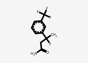 CC(F)(CC(N)=O)c1cccc(C(F)(F)F)c1